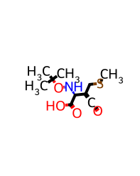 CSCC(=C=O)[C@H](NOC(C)(C)C)C(=O)O